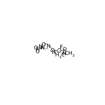 CN(C)C(=O)c1ccc(-c2cc(CN3CCOc4nc([N+](=O)[O-])cn4CC3)ccn2)cc1F